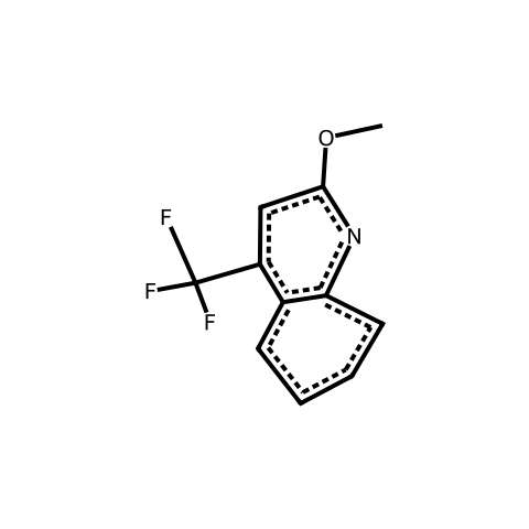 COc1cc(C(F)(F)F)c2ccccc2n1